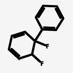 FC1[C]=CC=CC1(F)c1ccccc1